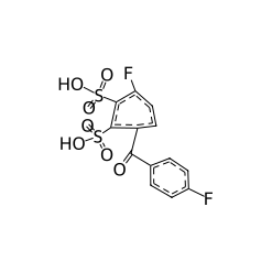 O=C(c1ccc(F)cc1)c1ccc(F)c(S(=O)(=O)O)c1S(=O)(=O)O